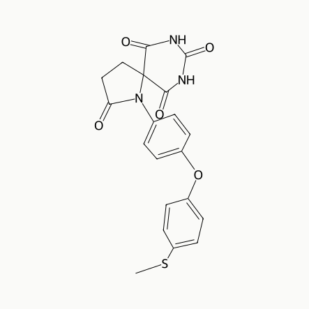 CSc1ccc(Oc2ccc(N3C(=O)CCC34C(=O)NC(=O)NC4=O)cc2)cc1